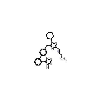 CC/C=C/c1nc(Cc2ccc(-c3ccccc3-c3nnn[nH]3)cc2)n(C2CCCCC2)n1